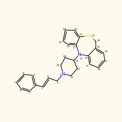 C(=Cc1ccccc1)CN1CCC(N2c3ccccc3CSc3ccccc32)CC1